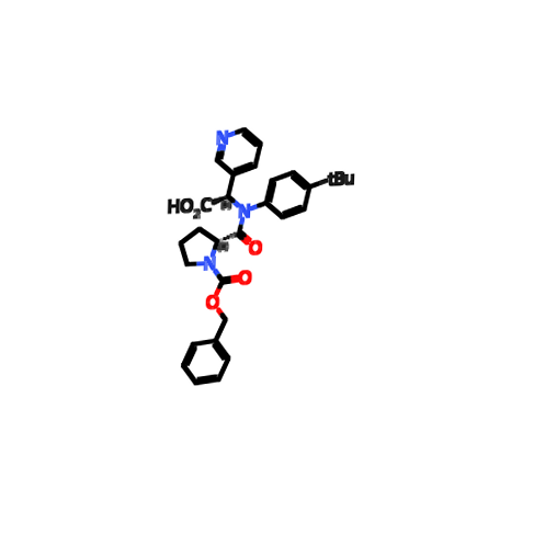 CC(C)(C)c1ccc(N(C(=O)[C@H]2CCCN2C(=O)OCc2ccccc2)[C@@H](C(=O)O)c2cccnc2)cc1